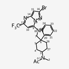 CC(=O)N(C)C1CCC(CNc2cc(C(F)(F)F)nc3cc(Br)nn23)(c2ccccc2)CC1